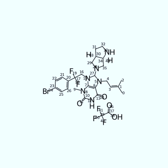 CC(C)=CCN1c2c(n(C)c(=O)[nH]c2=O)N(CC(F)(F)c2ccc(Br)cc2)C1N1C[C@H]2CCN[C@H]2C1.O=C(O)C(F)(F)F